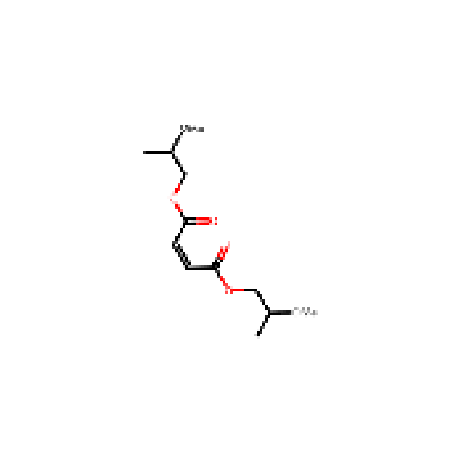 COC(C)COC(=O)/C=C\C(=O)OCC(C)OC